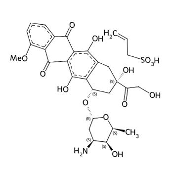 C=CCS(=O)(=O)O.COc1cccc2c1C(=O)c1c(O)c3c(c(O)c1C2=O)C[C@@](O)(C(=O)CO)C[C@@H]3O[C@H]1C[C@H](N)[C@H](O)[C@H](C)O1